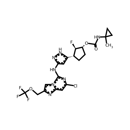 CC1(NC(=O)O[C@@H]2CC[C@H](c3cc(Nc4nc(Cl)cc5nc(COC(F)(F)F)cn45)n[nH]3)[C@H]2F)CC1